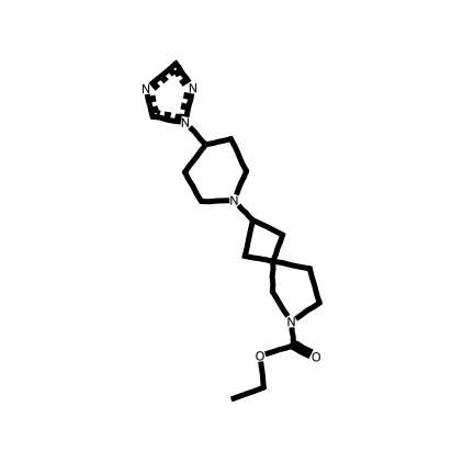 CCOC(=O)N1CCC2(CC(N3CCC(n4cncn4)CC3)C2)C1